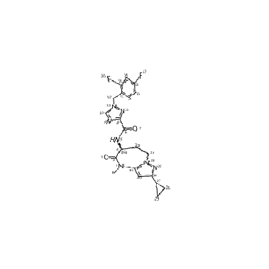 CN1C(=O)[C@@H](NC(=O)c2ncn(Cc3ccc(F)cc3F)n2)CCn2nc(C3CC3)cc21